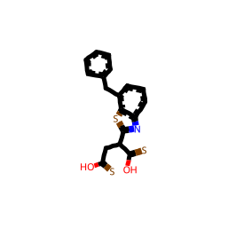 OC(=S)CC(C(O)=S)c1nc2cccc(Cc3ccccc3)c2s1